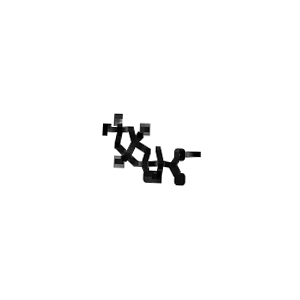 COC(=O)C(C)(C)C1(O)C[C@H]2CC(F)(F)C[C@H]2C1